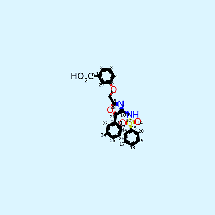 O=C(O)c1cccc(OCc2nc(NS(=O)(=O)c3ccccc3)c(-c3ccccc3)o2)c1